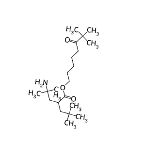 CC(C)(C)CC(CC(C)(C)N)C(=O)OCCCCCC(=O)C(C)(C)C